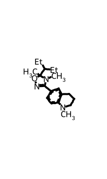 CCC(CC)C1(C)ON=C(c2ccc3c(c2)CCCN3C)N1C